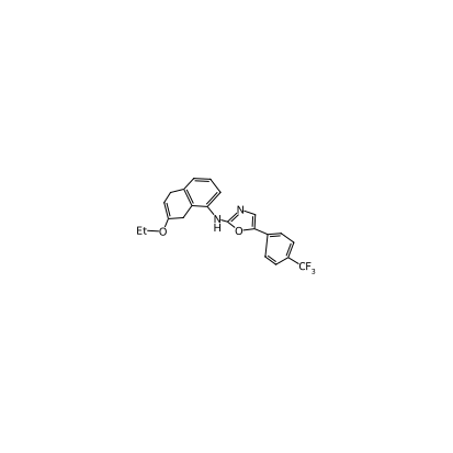 CCOC1=CCc2cccc(Nc3ncc(-c4ccc(C(F)(F)F)cc4)o3)c2C1